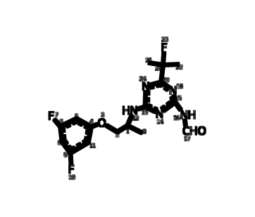 CC(COc1cc(F)cc(F)c1)Nc1nc(NC=O)nc(C(C)(C)F)n1